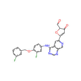 O=CC1OC(c2cc3c(Nc4ccc(OCc5cccc(F)c5)c(F)c4)ncnc3cn2)=CC1=O